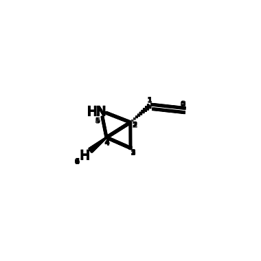 C=C[C@]12C[C@@H]1N2